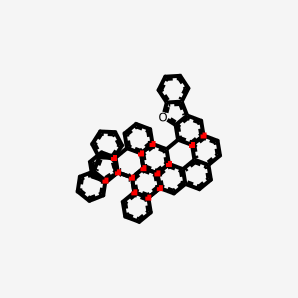 c1ccc(-c2ccccc2-n2c3ccccc3c3ccccc32)c(-c2ccccc2N(c2ccc(-c3cccc4c3oc3ccccc34)cc2)c2ccccc2-c2ccc3c(ccc4ccccc43)c2)c1